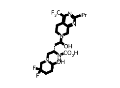 CC(C)c1nc2c(c(C(F)(F)F)n1)CCN(C(O)C[C@@H](CN1CC(F)(F)CCC1O)NC(=O)O)C2